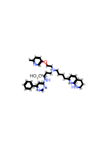 Cc1ccc(OCCN(CCCCc2ccc3c(n2)NCCC3)CC[C@H](Nc2cc(-c3ccccc3)ncn2)C(=O)O)cn1